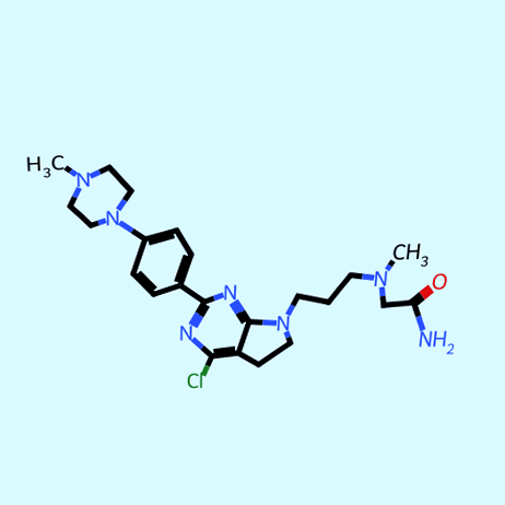 CN1CCN(c2ccc(-c3nc(Cl)c4c(n3)N(CCCN(C)CC(N)=O)CC4)cc2)CC1